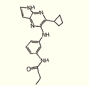 CCC(=O)Nc1cccc(Nc2nc3cc[nH]c3nc2C2CCC2)c1